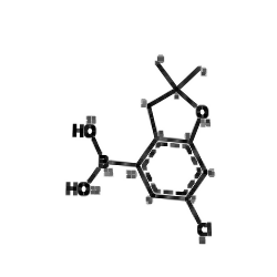 CC1(C)Cc2c(cc(Cl)cc2B(O)O)O1